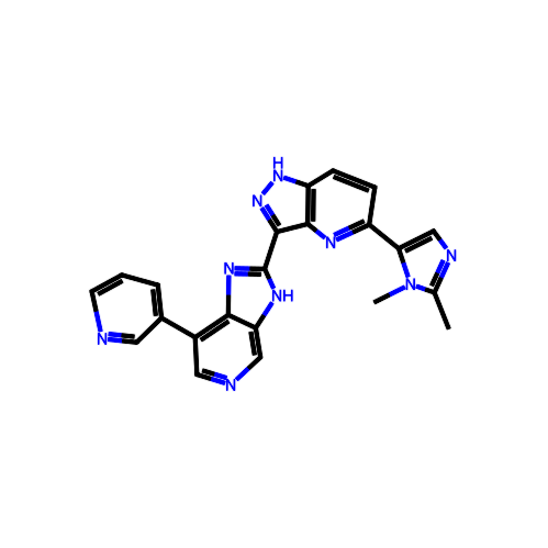 Cc1ncc(-c2ccc3[nH]nc(-c4nc5c(-c6cccnc6)cncc5[nH]4)c3n2)n1C